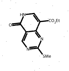 CCOC(=O)c1c[nH]c(=O)c2cnc(SC)nc12